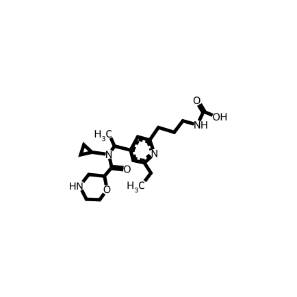 CCc1cc(C(C)N(C(=O)C2CNCCO2)C2CC2)cc(CCCNC(=O)O)n1